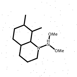 CO[SiH](OC)N1CCCC2CCC(C)C(C)C21